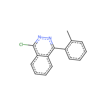 Cc1ccccc1-c1nnc(Cl)c2ccccc12